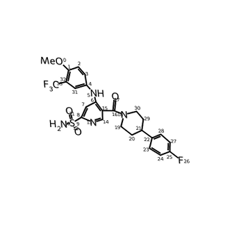 COc1ccc(Nc2cc(S(N)(=O)=O)ncc2C(=O)N2CCC(c3ccc(F)cc3)CC2)cc1C(F)(F)F